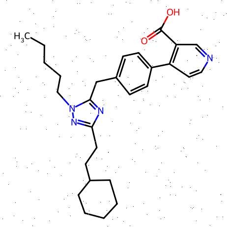 CCCCCn1nc(CCC2CCCCC2)nc1Cc1ccc(-c2ccncc2C(=O)O)cc1